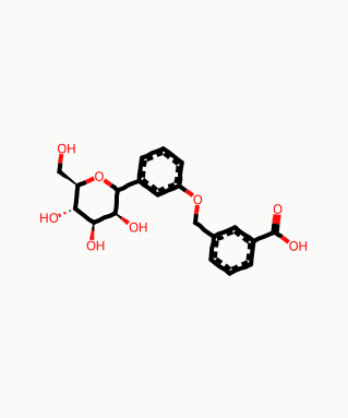 O=C(O)c1cccc(COc2cccc(C3O[C@H](CO)[C@@H](O)[C@H](O)[C@@H]3O)c2)c1